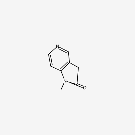 CN1C(=O)Cc2cnccc21